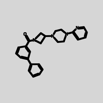 O=C(c1cccc(-c2ccccc2)c1)N1CC(N2CCN(c3ccccn3)CC2)C1